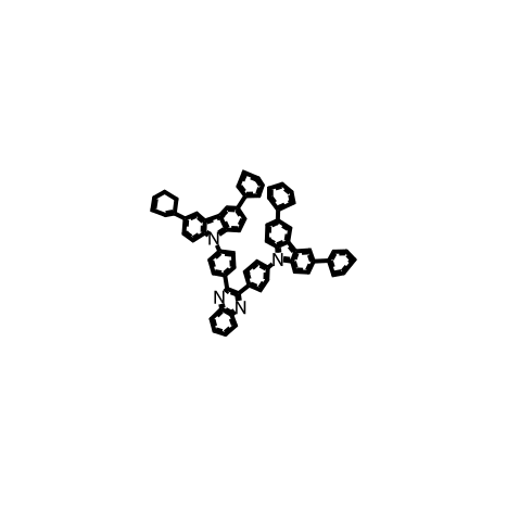 C1=CCCC(c2ccc3c(c2)c2cc(-c4ccccc4)ccc2n3-c2ccc(-c3nc4ccccc4nc3-c3ccc(-n4c5ccc(-c6ccccc6)cc5c5cc(-c6ccccc6)ccc54)cc3)cc2)=C1